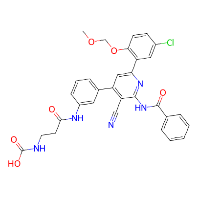 COCOc1ccc(Cl)cc1-c1cc(-c2cccc(NC(=O)CCNC(=O)O)c2)c(C#N)c(NC(=O)c2ccccc2)n1